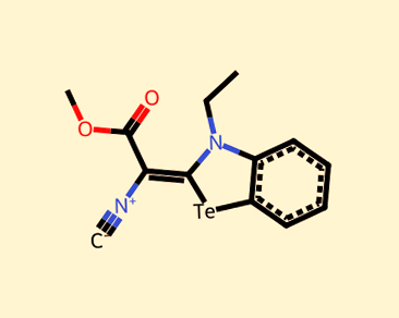 [C-]#[N+]C(C(=O)OC)=C1[Te]c2ccccc2N1CC